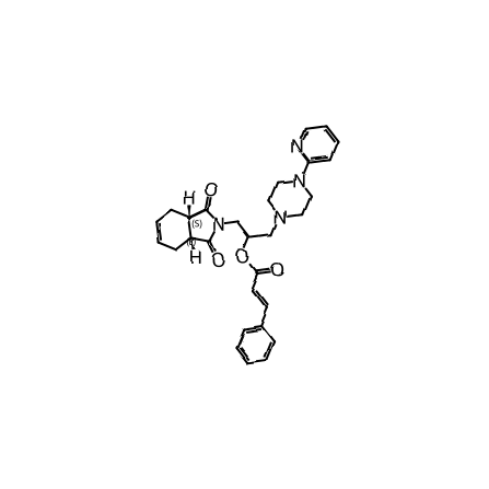 O=C(C=Cc1ccccc1)OC(CN1CCN(c2ccccn2)CC1)CN1C(=O)[C@H]2CC=CC[C@H]2C1=O